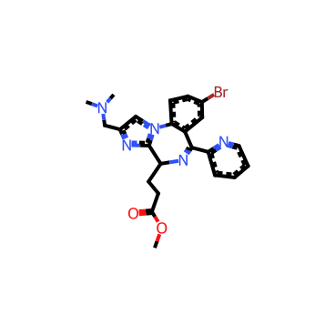 COC(=O)CCC1N=C(c2ccccn2)c2cc(Br)ccc2-n2cc(CN(C)C)nc21